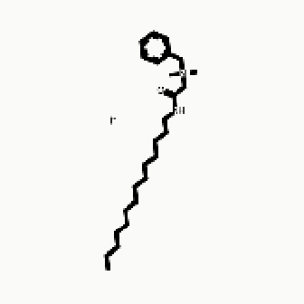 CCCCCCCCCCCCCCNC(=O)C[N+](C)(C)Cc1ccccc1.[I-]